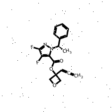 C=C=CC1(OC(=O)c2c(F)c(F)nn2[C@H](C)c2ccccc2)COC1